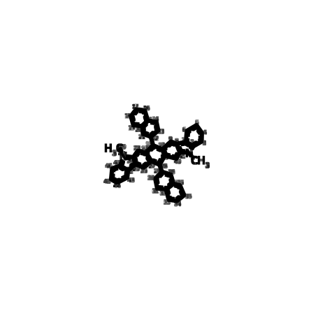 Cn1c2ccccc2c2cc3c(-c4ccc5ccccc5c4)c4cc5c(cc4c(-c4ccc6ccccc6c4)c3cc21)c1ccccc1n5C